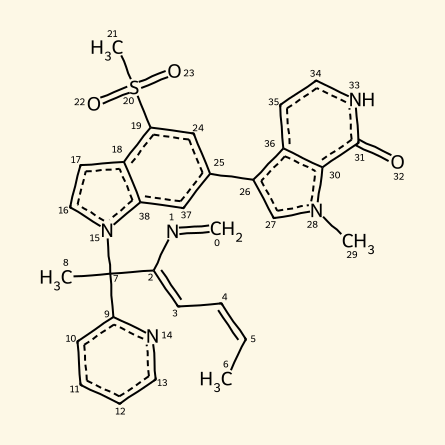 C=N/C(=C\C=C/C)C(C)(c1ccccn1)n1ccc2c(S(C)(=O)=O)cc(-c3cn(C)c4c(=O)[nH]ccc34)cc21